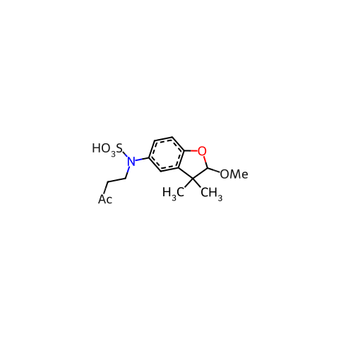 COC1Oc2ccc(N(CCC(C)=O)S(=O)(=O)O)cc2C1(C)C